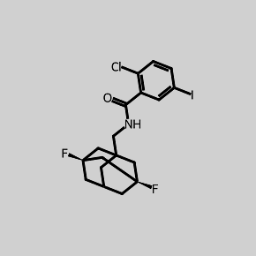 O=C(NCC12CC3C[C@@](F)(C1)C[C@](F)(C3)C2)c1cc(I)ccc1Cl